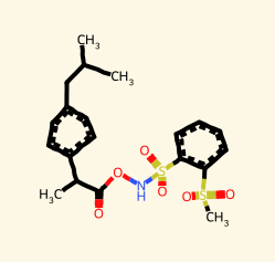 CC(C)Cc1ccc(C(C)C(=O)ONS(=O)(=O)c2ccccc2S(C)(=O)=O)cc1